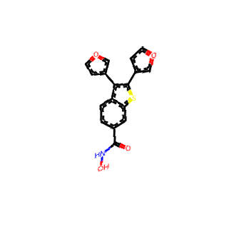 O=C(NO)c1ccc2c(-c3ccoc3)c(-c3ccoc3)sc2c1